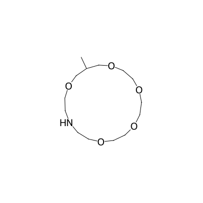 CC1COCCNCCOCCOCCOCCOC1